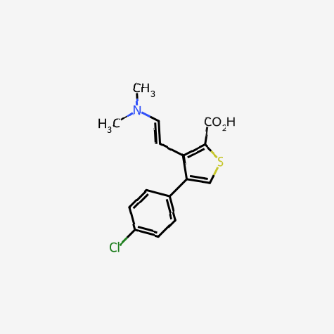 CN(C)C=Cc1c(-c2ccc(Cl)cc2)csc1C(=O)O